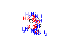 CC(C)[C@H](NC(=O)[C@@H](NC(=O)[C@H](Cc1ccc(O)cc1)NC(=O)[C@@H]1CCCN1C(=O)[C@H](CC(N)=O)NC(=O)[C@@H](N)CCC(N)=O)C(C)C)C(N)=O